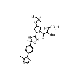 Cc1ncsc1-c1ccc(C2(C)NC([C@@H]3C[C@@H](O[Si](C)(C)C(C)(C)C)CN3C(=O)C(NC(=O)O)C(C)(C)C)=NO2)cc1